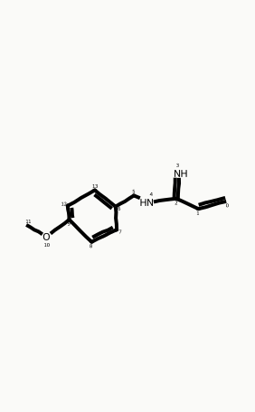 C=CC(=N)NCc1ccc(OC)cc1